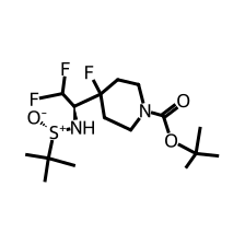 CC(C)(C)OC(=O)N1CCC(F)([C@@H](N[S@@+]([O-])C(C)(C)C)C(F)F)CC1